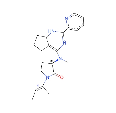 C/C=C(\C)N1CC[C@@H](N(C)C2=C3CCCC3NC(c3ccccn3)=N2)C1=O